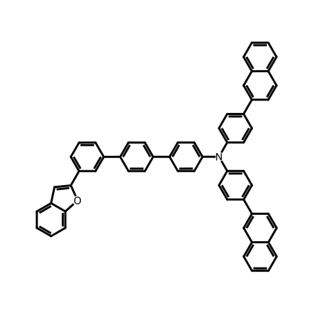 c1cc(-c2ccc(-c3ccc(N(c4ccc(-c5ccc6ccccc6c5)cc4)c4ccc(-c5ccc6ccccc6c5)cc4)cc3)cc2)cc(-c2cc3ccccc3o2)c1